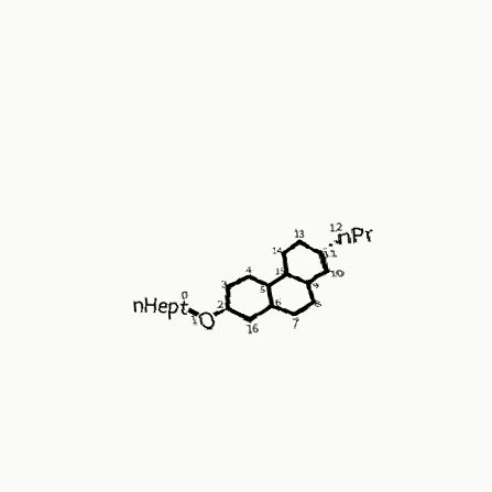 CCCCCCCO[C@H]1CCC2C(CCC3C[C@@H](CCC)CCC32)C1